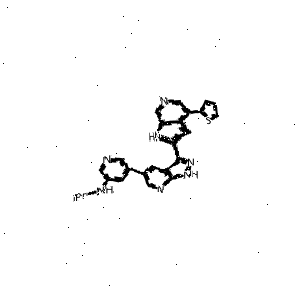 CC(C)Nc1cncc(-c2cnc3[nH]nc(-c4cc5c(-c6cccs6)cncc5[nH]4)c3c2)c1